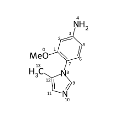 COc1cc(N)ccc1-n1cncc1C